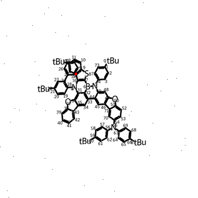 CC(C)(C)c1ccc(N2B3c4sc5ccc(C(C)(C)C)cc5c4N(c4ccc(C(C)(C)C)cc4-c4ccccc4)c4c3c(cc3c4oc4ccccc43)-c3cc4c(cc32)oc2ccc(N(c3ccc(C(C)(C)C)cc3)c3ccc(C(C)(C)C)cc3)cc24)cc1